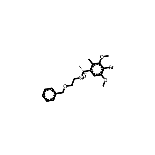 COc1cc([C@@H](C)NCCOCc2ccccc2)c(C)c(OC)c1Br